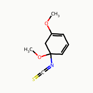 COC1=CC=CC(N=C=S)(OC)C1